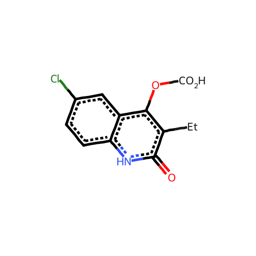 CCc1c(OC(=O)O)c2cc(Cl)ccc2[nH]c1=O